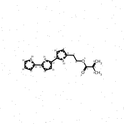 C=C(C)C(=O)OCCc1ccc(-c2ccc(-c3cccs3)s2)s1